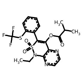 CCN1c2nccnc2C(OC(=O)C(C)C)=C(c2ccccc2SC(F)(F)F)S1(=O)=O